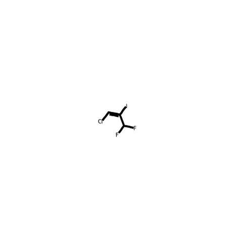 FC(F)/C(I)=C\Cl